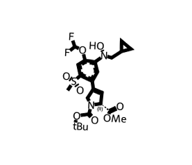 COC(=O)[C@H]1C=C(c2cc(N(O)CC3CC3)c(OC(F)F)cc2S(C)(=O)=O)CN1C(=O)OC(C)(C)C